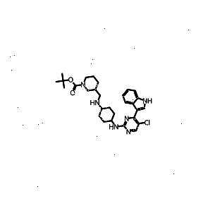 CC(C)(C)OC(=O)N1CCCC(CNC2CCC(Nc3ncc(Cl)c(-c4c[nH]c5ccccc45)n3)CC2)C1